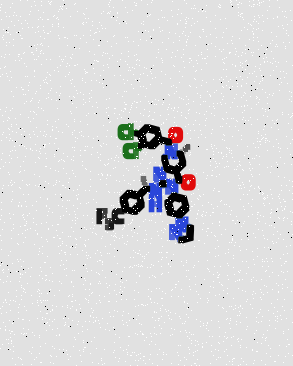 C[C@H](Nc1nc2c(c(=O)n1-c1ccc(-n3cccn3)cc1)C[C@@H](C)N(C(=O)c1ccc(Cl)c(Cl)c1)C2)c1ccc(C(F)(F)F)cc1